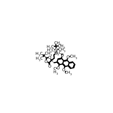 COc1cc(C[C@@]2(CCO[Si](C)(C)C(C)(C)C)O[C@H](C(C)(C)C)OC2=O)c(OC)c2c(OC)c3ccccc3c(OC)c12